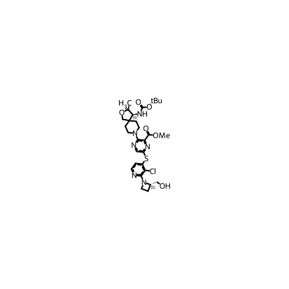 COC(=O)c1nc(Sc2ccnc(N3CC[C@H]3CO)c2Cl)cnc1N1CCC2(CC1)CO[C@@H](C)[C@H]2NC(=O)OC(C)(C)C